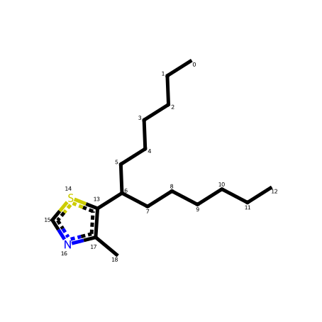 CCCCCCC(CCCCCC)c1scnc1C